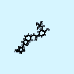 Fc1ccc(NCc2ccc3cc(-c4nn[nH]n4)oc3c2)cc1CC(F)(F)F